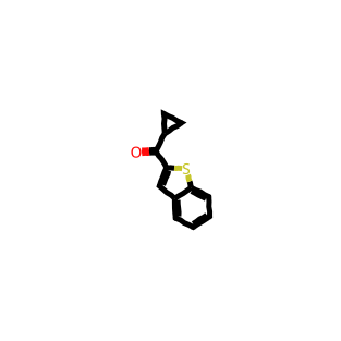 O=C(c1cc2ccccc2s1)C1CC1